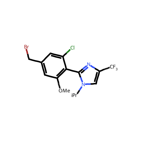 COc1cc(CBr)cc(Cl)c1-c1nc(C(F)(F)F)cn1C(C)C